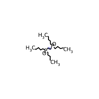 CCCCCP(=O)(/C=C/P(=O)(CCCCC)CCCCC)CCCCC